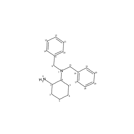 NC1CCCCC1N(Cc1ccccc1)Cc1ccccc1